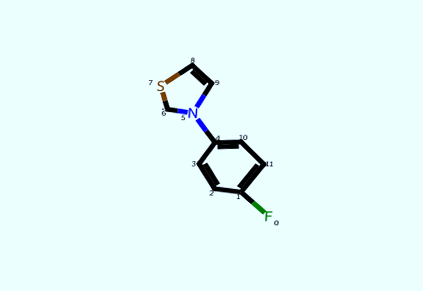 Fc1ccc(N2[CH]SC=C2)cc1